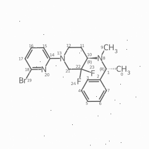 C[C@H](c1ccccc1)N(C)[C@@H]1CCN(c2cccc(Br)n2)CC1(F)F